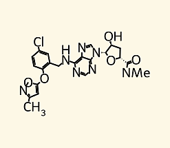 CNC(=O)[C@H]1C[C@H](O)[C@@H](n2cnc3c(NCc4cc(Cl)ccc4Oc4cc(C)no4)ncnc32)O1